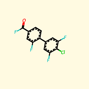 O=C(F)c1ccc(-c2cc(F)c(Cl)c(F)c2)c(F)c1